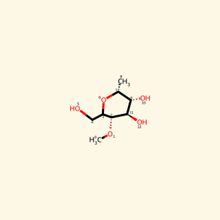 CO[C@@H]1C(CO)O[C@H](C)[C@H](O)[C@H]1O